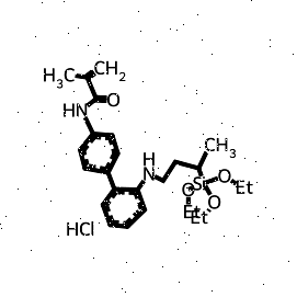 C=C(C)C(=O)Nc1ccc(-c2ccccc2NCCC(C)[Si](OCC)(OCC)OCC)cc1.Cl